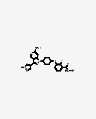 CNc1cc2c(cn1)c(-c1cnn(C)c1)nn2C1CCC(Oc2cccc(C(=O)NC(C)C)c2F)CC1